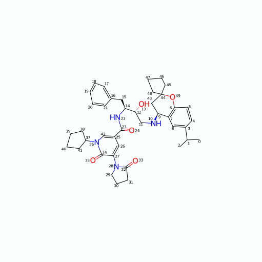 CC(C)c1ccc2c(c1)[C@@H](NC[C@@H](O)[C@H](Cc1ccccc1)NC(=O)c1cc(N3CCCC3=O)c(=O)n(C3CCCC3)c1)CC1(CCCC1)O2